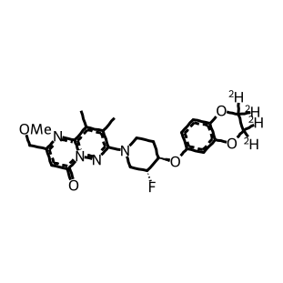 [2H]C1([2H])Oc2ccc(O[C@@H]3CCN(c4nn5c(=O)cc(COC)nc5c(C)c4C)C[C@H]3F)cc2OC1([2H])[2H]